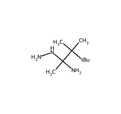 CC(C)(C)C(C)(C)C(C)(N)NN